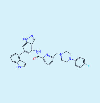 O=C(Nc1cc(-c2cccc3[nH]ccc23)cc2[nH]ncc12)c1cccc(CN2CCN(c3ccc(F)cc3)CC2)n1